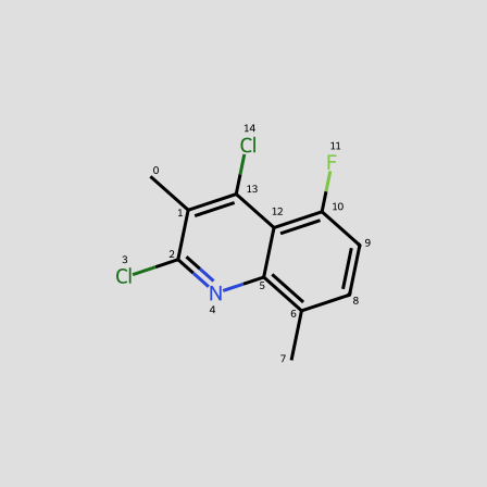 Cc1c(Cl)nc2c(C)ccc(F)c2c1Cl